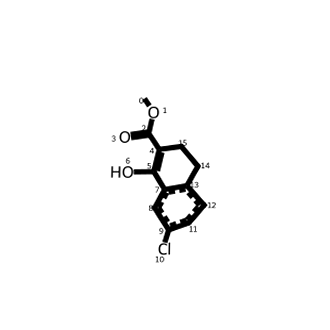 COC(=O)C1=C(O)c2cc(Cl)ccc2CC1